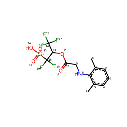 Cc1cccc(C)c1NCC(=O)OC(C(F)(F)F)C(F)(F)S(=O)(=O)O